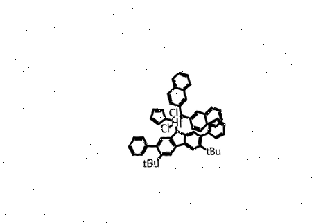 CC(C)(C)c1cc2c(cc1-c1ccccc1)[CH]([Hf]([Cl])([Cl])(=[C](c1ccc3ccccc3c1)c1ccc3ccccc3c1)[CH]1C=CC=C1)c1cc(-c3ccccc3)c(C(C)(C)C)cc1-2